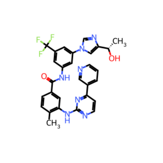 Cc1ccc(C(=O)Nc2cc(-n3cnc([C@H](C)O)c3)cc(C(F)(F)F)c2)cc1Nc1nccc(-c2cccnc2)n1